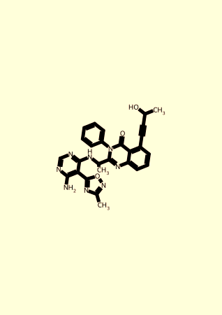 Cc1noc(-c2c(N)ncnc2NC(C)c2nc3cccc(C#CC(C)O)c3c(=O)n2-c2ccccc2)n1